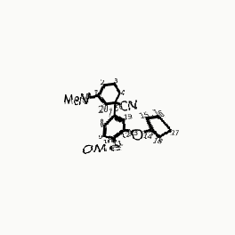 CNC1CCCC(C#N)(c2ccc(OC)c(OC3CCCC3)c2)C1